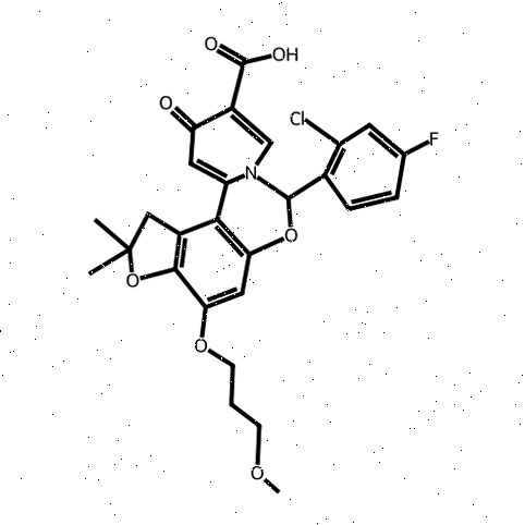 COCCCOc1cc2c(c3c1OC(C)(C)C3)-c1cc(=O)c(C(=O)O)cn1C(c1ccc(F)cc1Cl)O2